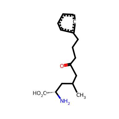 CC(CC(=O)CCCc1ccccc1)C[C@H](N)C(=O)O